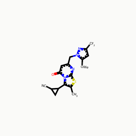 COc1cc(C(F)(F)F)nn1Cc1cc(=O)n2c(C3CC3C#N)c(C)sc2n1